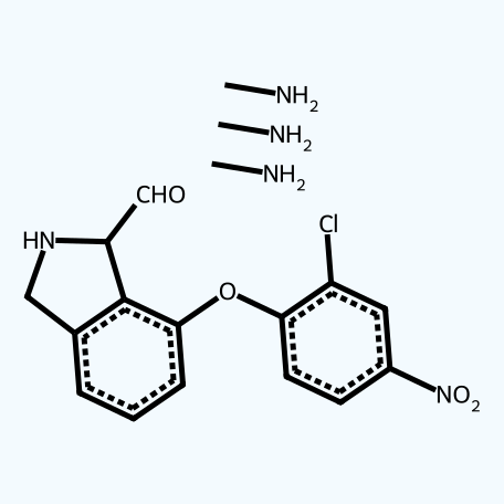 CN.CN.CN.O=CC1NCc2cccc(Oc3ccc([N+](=O)[O-])cc3Cl)c21